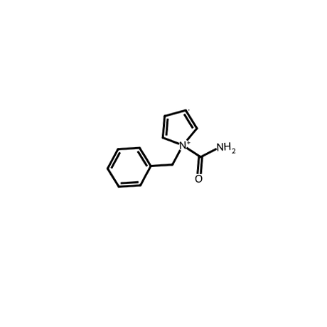 NC(=O)[N+]1(Cc2ccccc2)C=[C]C=C1